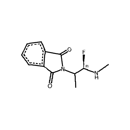 CN[C@H](F)C(C)N1C(=O)c2ccccc2C1=O